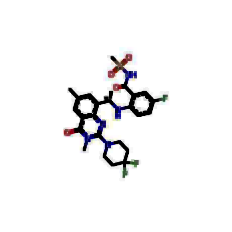 Cc1cc([C@@H](C)Nc2ccc(F)cc2C(=O)NS(C)(=O)=O)c2nc(N3CCC(F)(F)CC3)n(C)c(=O)c2c1